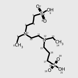 CCN(CCCS(=O)(=O)O)CCN(CC)CCCS(=O)(=O)O